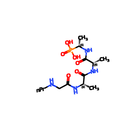 CCCNCC(=O)N[C@@H](C)C(=O)N[C@@H](C)C(=O)N[C@@H](C)P(=O)(O)O